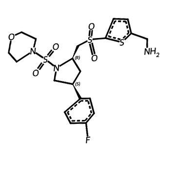 NCc1ccc(S(=O)(=O)C[C@H]2C[C@@H](c3ccc(F)cc3)CN2S(=O)(=O)N2CCOCC2)s1